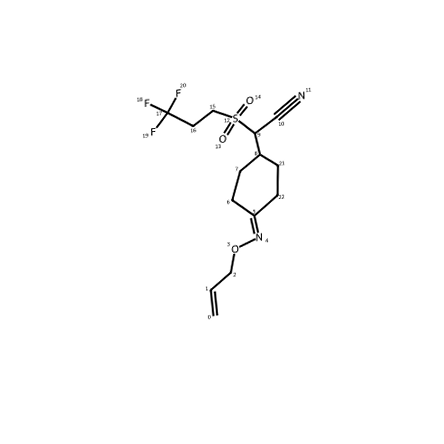 C=CCON=C1CCC(C(C#N)S(=O)(=O)CCC(F)(F)F)CC1